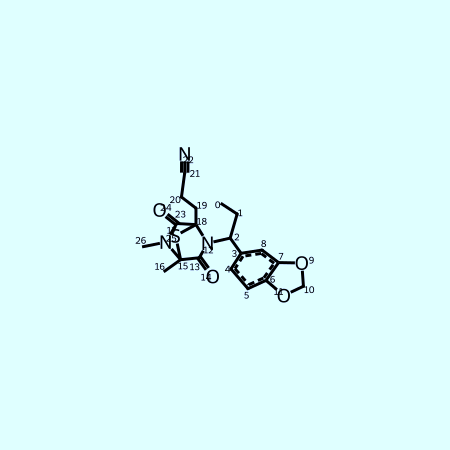 CCC(c1ccc2c(c1)OCO2)N1C(=O)C2(C)SC1(CCC#N)C(=O)N2C